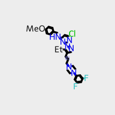 CCc1c(/C=C/CN2CCN(c3cc(F)cc(F)c3)CC2)cnn1-c1nc(Cl)cc(NCc2ccc(OC)cc2)n1